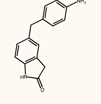 Nc1ccc(Cc2ccc3c(c2)CC(=O)N3)cc1